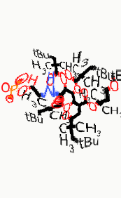 CC(C)(C)CC(C)(C)C(=O)CC(C(=O)OC(C)(C)CCOC(C)(C)C)C(OC(=O)C(C)(C)CC(C)(C)C)C(OC(=O)C(C)(C)CC(C)(C)C)C(OC(=O)C(C)(C)CC(C)(C)C)C(=O)NCCOP(=O)(O)O